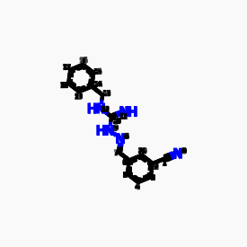 N#Cc1cccc(C=NNC(=N)NCc2ccccc2)c1